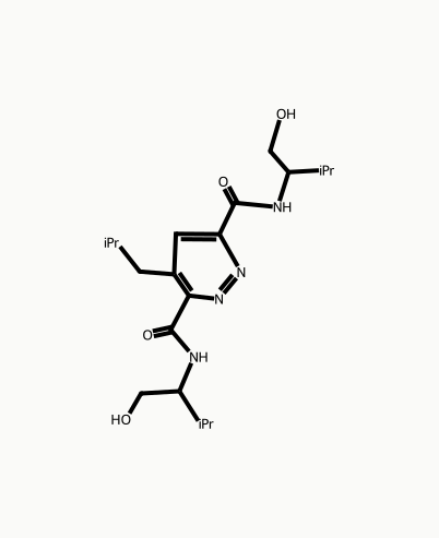 CC(C)Cc1cc(C(=O)NC(CO)C(C)C)nnc1C(=O)NC(CO)C(C)C